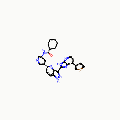 O=C(Nc1cncc(-c2ccc3[nH]nc(-c4nc5c(-c6ccsc6)ccnc5[nH]4)c3n2)c1)C1CCCCC1